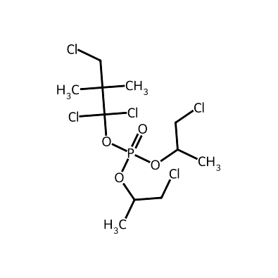 CC(CCl)OP(=O)(OC(C)CCl)OC(Cl)(Cl)C(C)(C)CCl